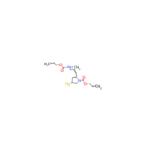 C=CCOC(=O)NCC(C)=CC1CC(S)CN1C(=O)OCC=C